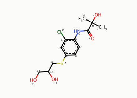 C[C@@](O)(C(=O)Nc1ccc(SCC(O)CO)cc1Cl)C(F)(F)F